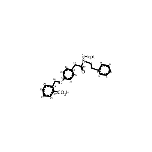 CCCCCCCN(CCc1ccccc1)C(=O)Cc1ccc(OCc2ccccc2C(=O)O)cc1